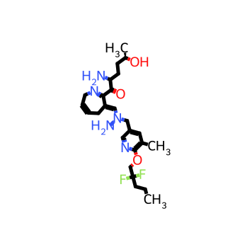 CCCC(F)(F)COc1ncc(CN(N)/C=C2\CC#CCN=C2C(=O)C(N)CC[C@@H](C)O)cc1C